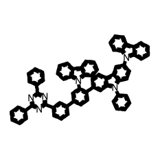 c1ccc(-c2nc(-c3ccccc3)nc(-c3cccc(-c4ccc(-c5ccc6c7cc(-n8c9ccccc9c9ccccc98)ccc7n(-c7ccccc7)c6c5)c(-n5c6ccccc6c6ccccc65)c4)c3)n2)cc1